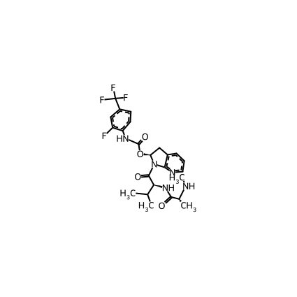 CN[C@@H](C)C(=O)N[C@H](C(=O)N1c2ncccc2C[C@@H]1OC(=O)Nc1ccc(C(F)(F)F)cc1F)C(C)C